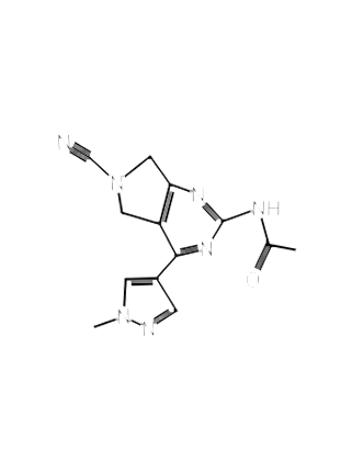 CC(=O)Nc1nc2c(c(-c3cnn(C)c3)n1)CN(C#N)C2